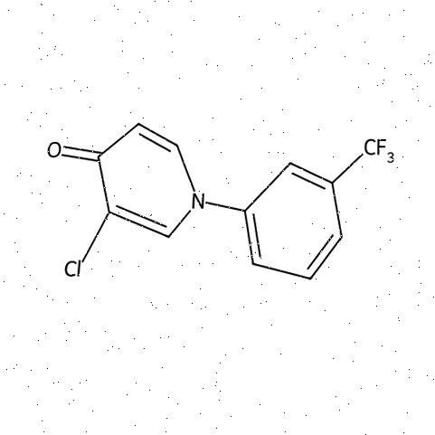 O=c1ccn(-c2cccc(C(F)(F)F)c2)cc1Cl